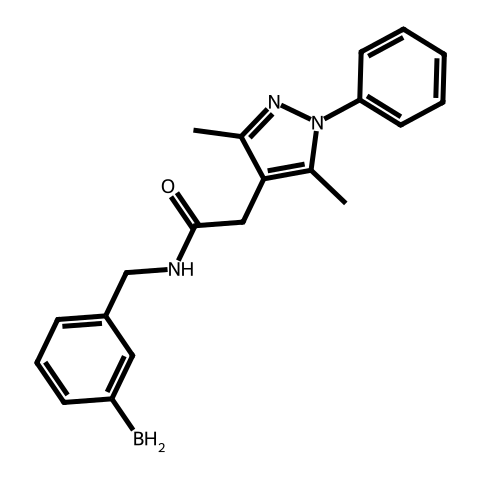 Bc1cccc(CNC(=O)Cc2c(C)nn(-c3ccccc3)c2C)c1